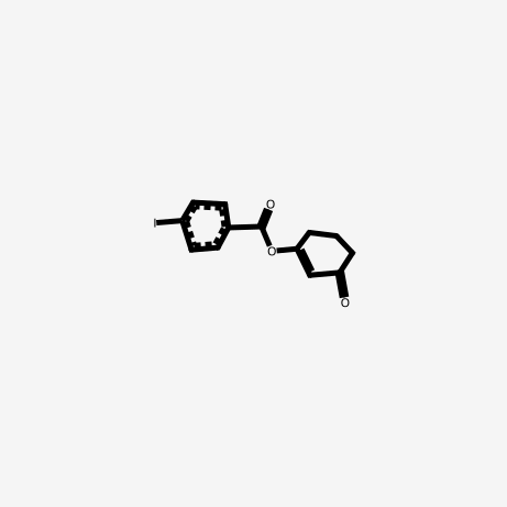 O=C1C=C(OC(=O)c2ccc(I)cc2)CCC1